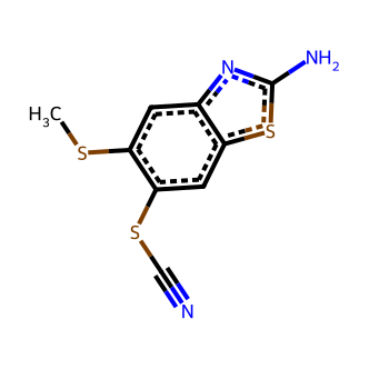 CSc1cc2nc(N)sc2cc1SC#N